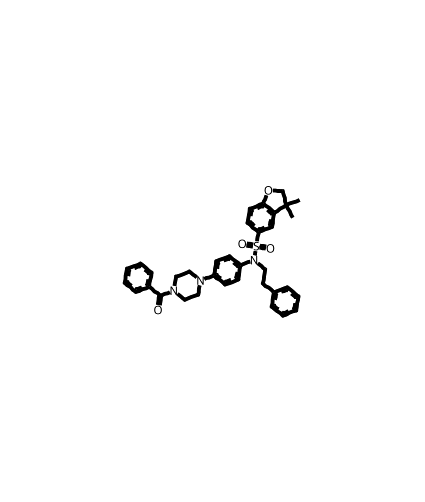 CC1(C)COc2ccc(S(=O)(=O)N(CCc3ccccc3)c3ccc(N4CCN(C(=O)c5ccccc5)CC4)cc3)cc21